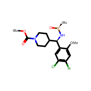 COc1cc(Br)c(Cl)cc1[C@H](N[S@@+]([O-])C(C)(C)C)C1CCN(C(=O)OC(C)(C)C)CC1